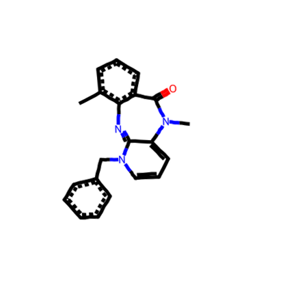 Cc1cccc2c1N=C1C(=CC=CN1Cc1ccccc1)N(C)C2=O